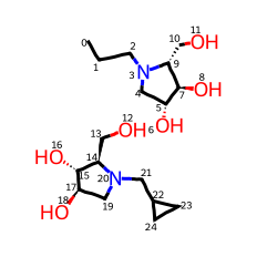 CCCN1C[C@@H](O)[C@H](O)[C@H]1CO.OC[C@@H]1[C@@H](O)[C@H](O)CN1CC1CC1